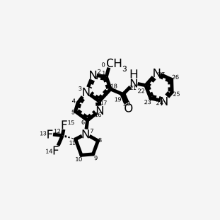 Cc1nn2ccc(N3CCC[C@@H]3C(F)(F)F)nc2c1C(=O)Nc1cnccn1